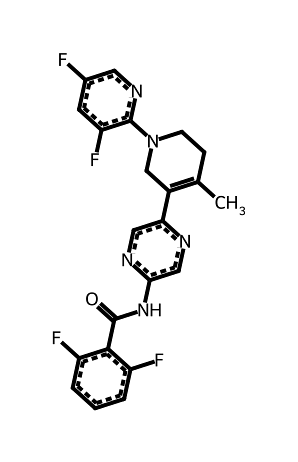 CC1=C(c2cnc(NC(=O)c3c(F)cccc3F)cn2)CN(c2ncc(F)cc2F)CC1